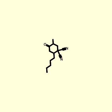 CCCCCC1CC(=O)C(C)CC1(C#N)C#N